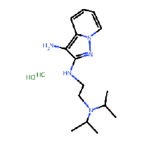 CC(C)N(CCNc1nn2ccccc2c1N)C(C)C.Cl.Cl